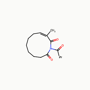 CC1=CCCCCCCC(=O)N(C(=O)C(C)C)C1=O